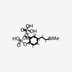 CNCCc1ccc(OP(=O)(O)O)c(OP(=O)(O)O)c1